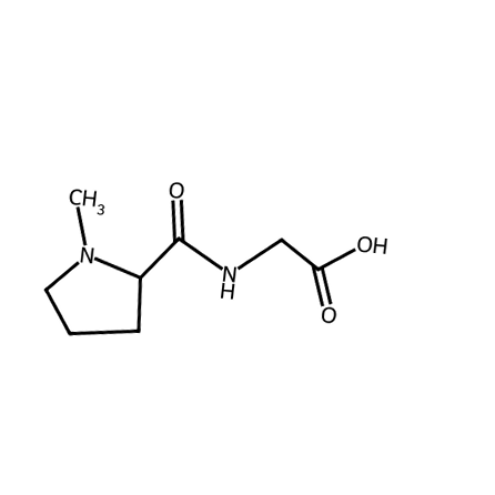 CN1CCCC1C(=O)NCC(=O)O